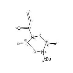 C=CC(=O)N1C[C@@H](C)N(C(C)(C)C)C[C@@H]1C